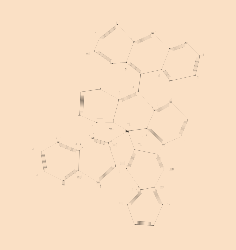 C1=CCC2=C(c3c4ccccc4cc4ccccc34)c3ccccc3C(c3ccc4ccccc4c3)(c3ccc4ccccc4c3)C2=C1